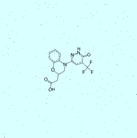 O=C(O)CC1CN(c2cc(C(F)(F)F)c(=O)[nH]n2)c2ccccc2O1